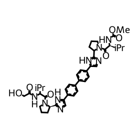 COC(=O)N[C@H](C(=O)N1CCCC1c1ncc(-c2ccc(-c3ccc(-c4cnc([C@H]5CCCN5C(=O)C(NC(=O)CO)C(C)C)[nH]4)cc3)cc2)[nH]1)C(C)C